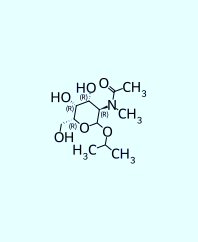 CC(=O)N(C)[C@H]1C(OC(C)C)O[C@H](CO)[C@H](O)[C@@H]1O